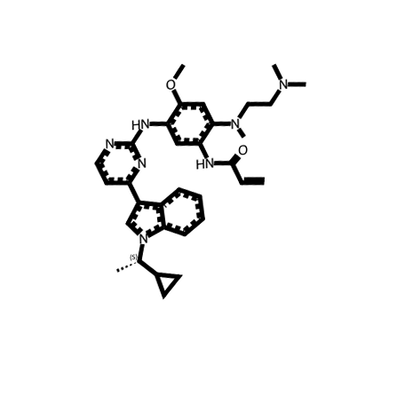 C=CC(=O)Nc1cc(Nc2nccc(-c3cn([C@@H](C)C4CC4)c4ccccc34)n2)c(OC)cc1N(C)CCN(C)C